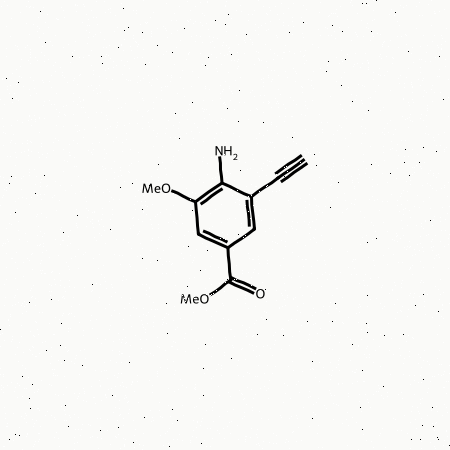 C#Cc1cc(C(=O)OC)cc(OC)c1N